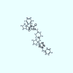 O=C(NCC1CCN(CC2(c3nnn(Cc4ccccc4)n3)CCCC2)CC1)N1C(=O)C2(CCCC2)c2ccccc21